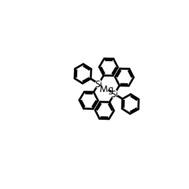 c1ccc([Si]([Mg][Si](c2ccccc2)(c2ccccc2)c2ccccc2)(c2ccccc2)c2ccccc2)cc1